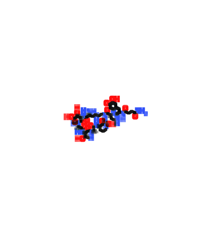 C[C@H](NC(=O)[C@H](NC(=O)[C@H](C)NC(=O)[C@H](NC(=O)[C@@H](N)CCCCNC(=O)[C@@H]1CCNc2c(NC(=O)CCC(N)=O)cc3cc(O)c(=O)cc-3n21)[C@@H](O)C(=O)O)[C@@H](C)O)C(=O)N[C@@H]1CCCN(O)C1=O